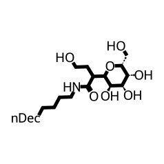 CCCCCCCCCCCCCCNC(=O)C(CCO)C1O[C@H](CO)[C@H](O)[C@H](O)[C@H]1O